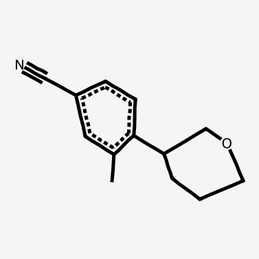 Cc1cc(C#N)ccc1C1CCCOC1